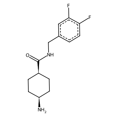 N[C@H]1CC[C@@H](C(=O)NCc2ccc(F)c(F)c2)CC1